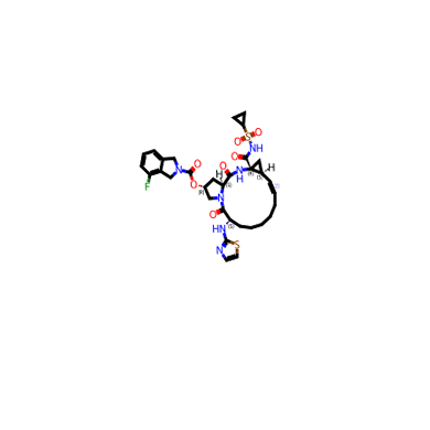 O=C1N[C@]2(C(=O)NS(=O)(=O)C3CC3)C[C@H]2/C=C\CCCCC[C@H](Nc2nccs2)C(=O)N2C[C@H](OC(=O)N3Cc4cccc(F)c4C3)C[C@@H]12